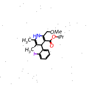 COCC1=C(C(=O)OC(C)C)C(c2ccccc2I)C(C)=C(C)N1